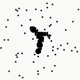 Nc1nc(OCC2CCOCC2)nc2c1cnn2Cc1ccc(CN2CCCC2)cc1